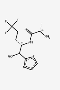 C[C@H](N)C(=O)N[C@@H](CCC(F)(F)F)C(O)c1nccs1